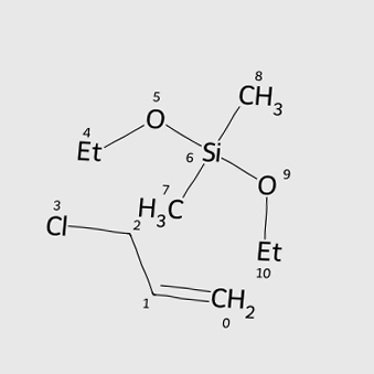 C=CCCl.CCO[Si](C)(C)OCC